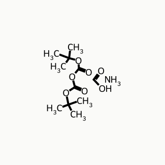 CC(C)(C)OC(=O)OC(=O)OC(C)(C)C.N.O=CO